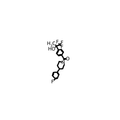 CC(O)(c1ccc(C(=O)N2CCC(c3ccc(F)cc3)CC2)cc1)C(F)(F)F